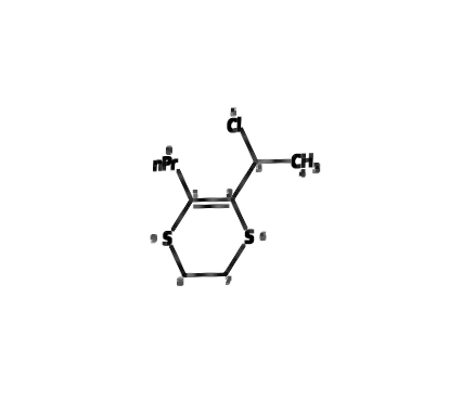 CCCC1=C(C(C)Cl)SCCS1